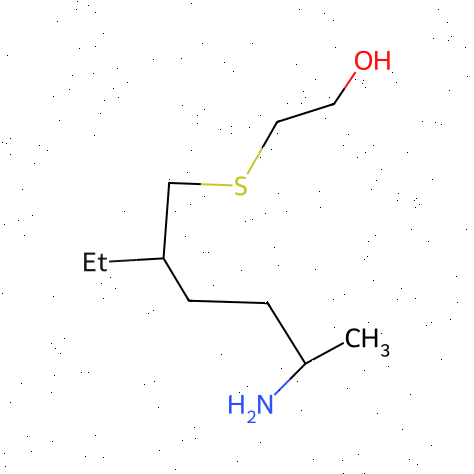 CCC(CCC(C)N)CSCCO